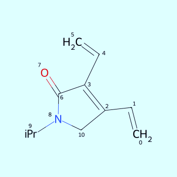 C=CC1=C(C=C)C(=O)N(C(C)C)C1